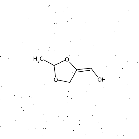 CC1OCC(=CO)O1